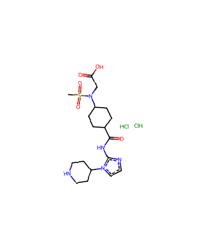 CS(=O)(=O)N(CC(=O)O)C1CCC(C(=O)Nc2nccn2C2CCNCC2)CC1.Cl.Cl